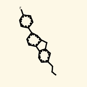 CCCc1ccc2c(c1)Cc1cc(-c3ccc(F)cc3)ccc1-2